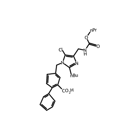 CCCCc1nc(CNC(=O)OCCC)c(Cl)n1Cc1ccc(-c2ccccc2)c(C(=O)O)c1